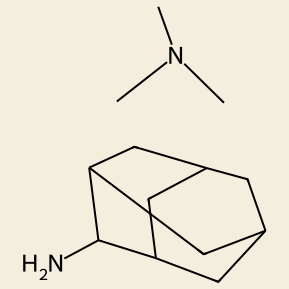 CN(C)C.NC1C2CC3CC(C2)CC1C3